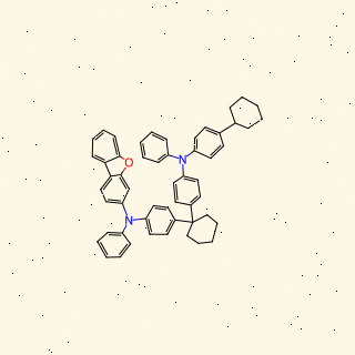 c1ccc(N(c2ccc(C3CCCCC3)cc2)c2ccc(C3(c4ccc(N(c5ccccc5)c5ccc6c(c5)oc5ccccc56)cc4)CCCCC3)cc2)cc1